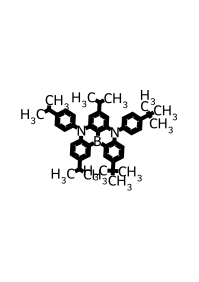 CC(C)c1ccc(N2c3ccc(C(C)C)cc3B3c4cc(C(C)(C)C)ccc4N(c4ccc(C(C)(C)C)cc4)c4cc(C(C)C)cc2c43)cc1